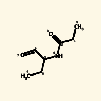 CCC(=O)NC(C=O)CC